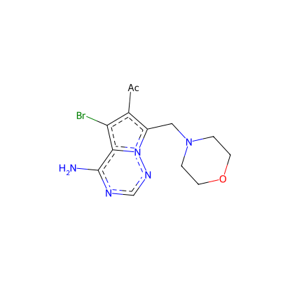 CC(=O)c1c(Br)c2c(N)ncnn2c1CN1CCOCC1